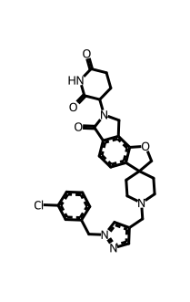 O=C1CCC(N2Cc3c(ccc4c3OCC43CCN(Cc4cnn(Cc5cccc(Cl)c5)c4)CC3)C2=O)C(=O)N1